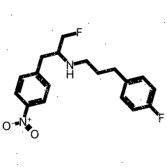 O=[N+]([O-])c1ccc(CC(CF)NCCCc2ccc(F)cc2)cc1